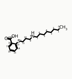 CCCCCCCCNCCCSc1ccccc1C(=O)O